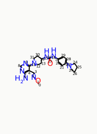 CON=Cc1c(N)ncnc1N1CCC(NC(=O)Nc2ccc(N3CCCC3)cc2)CC1